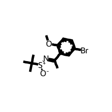 COc1ccc(Br)cc1/C(C)=N/[S@@+]([O-])C(C)(C)C